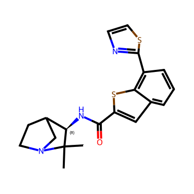 CC1(C)[C@H](NC(=O)c2cc3cccc(-c4nccs4)c3s2)C2CCN1C2